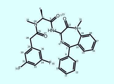 C[C@@H](C(=O)NC1N=C(c2ccccc2)c2ccccc2N(C)C1=O)N(C)C(=O)Cc1cc(F)cc(F)c1